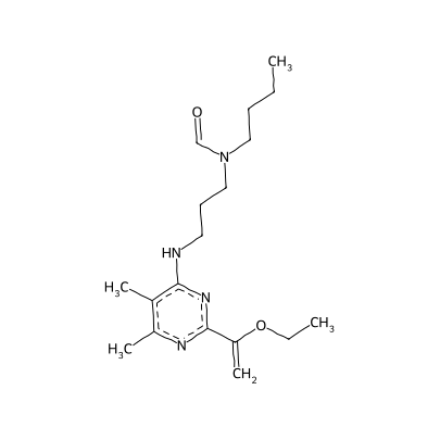 C=C(OCC)c1nc(C)c(C)c(NCCCN(C=O)CCCC)n1